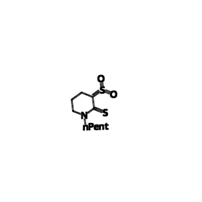 CCCCCN1CCCC(=S(=O)=O)C1=S